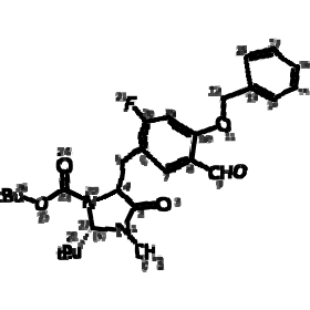 CN1C(=O)C(Cc2cc(C=O)c(OCc3ccccc3)cc2F)N(C(=O)OC(C)(C)C)[C@H]1C(C)(C)C